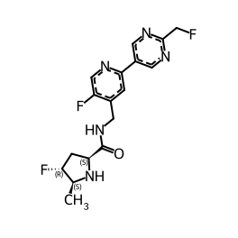 C[C@@H]1N[C@H](C(=O)NCc2cc(-c3cnc(CF)nc3)ncc2F)C[C@H]1F